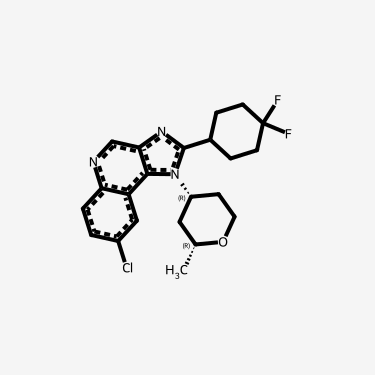 C[C@@H]1C[C@H](n2c(C3CCC(F)(F)CC3)nc3cnc4ccc(Cl)cc4c32)CCO1